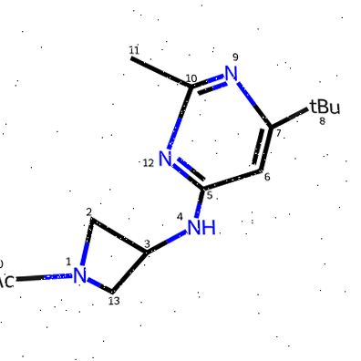 CC(=O)N1CC(Nc2cc(C(C)(C)C)nc(C)n2)C1